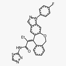 CCC(C(=O)Nc1nncs1)=C1c2ccccc2COc2cc3c(cnn3-c3ccc(F)cc3)cc21